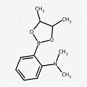 CC1OB(c2ccccc2N(C)C)OC1C